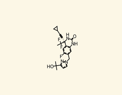 CC(C)(O)c1ccn(Cc2cc3c(cc2F)[C@@](C#CC2CC2)(C(C)(F)F)NC(=O)N3)n1